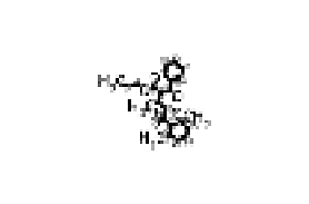 CCCOC(=O)C(C(=O)c1ccccc1)C(C)CC(=O)C1C(C)C=CCC1(C)C